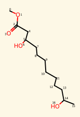 COC(=O)CC(O)CCCCCCCC(C)O